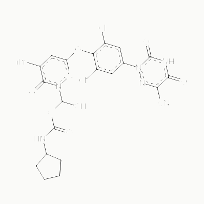 CC(C)c1cc(Oc2c(Cl)cc(-n3nc(C#N)c(=O)[nH]c3=O)cc2Cl)nn(C(C)OC(=O)NC2CCCC2)c1=O